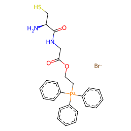 N[C@@H](CS)C(=O)NCC(=O)OCC[P+](c1ccccc1)(c1ccccc1)c1ccccc1.[Br-]